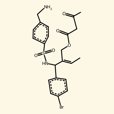 CC=C(COC(=O)CC(C)=O)C(NS(=O)(=O)c1ccc(CN)cc1)c1ccc(Br)cc1